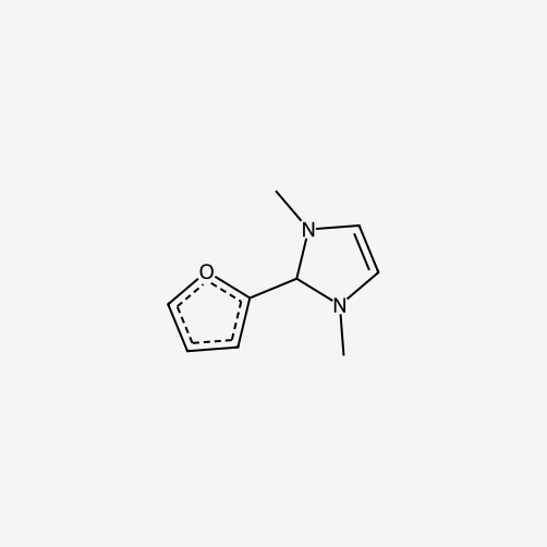 CN1C=CN(C)C1c1ccco1